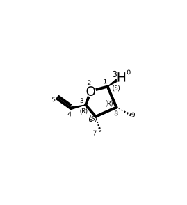 [3H][C@@H]1O[C@H](C=C)[C@@H](C)[C@H]1C